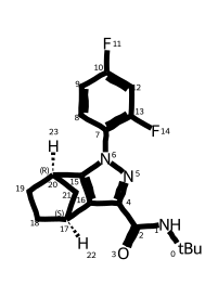 CC(C)(C)NC(=O)c1nn(-c2ccc(F)cc2F)c2c1[C@H]1CC[C@@H]2C1